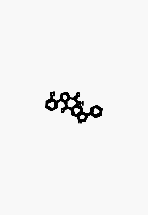 O=C(O)[C@@H]1CC[C@H](c2ccccc2Cl)N1C(=O)c1ccc2c(c1)ncn2-c1ccccc1